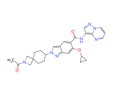 CC(=O)N1CC2(CCC(n3cc4cc(C(=O)Nc5cnn6cccnc56)c(OC5CC5)cc4n3)CC2)C1